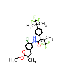 CCOC(=O)[C@@H](C)Cc1ccc(Cl)c(NC(=O)[C@H](c2ccc(C(C)(C)C(F)(F)F)cc2)[C@@H](C)C(F)(F)F)c1